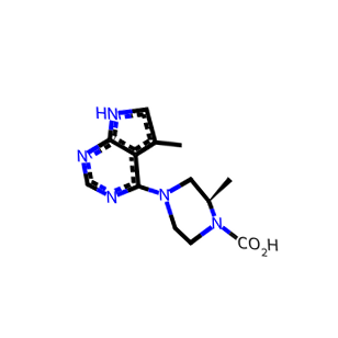 Cc1c[nH]c2ncnc(N3CCN(C(=O)O)[C@H](C)C3)c12